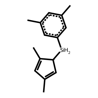 CC1=C[C]([SiH2]c2cc(C)cc(C)c2)C(C)=C1